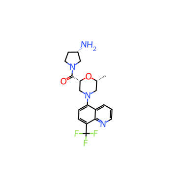 C[C@@H]1CN(c2ccc(C(F)(F)F)c3ncccc23)C[C@H](C(=O)N2CC[C@H](N)C2)O1